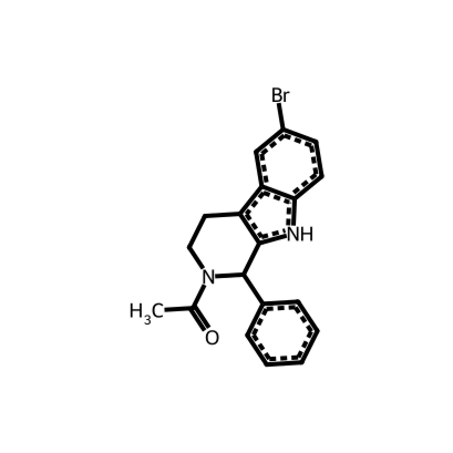 CC(=O)N1CCc2c([nH]c3ccc(Br)cc23)C1c1ccccc1